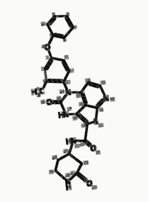 Cc1cc(Oc2ccccc2)ccc1N1C(=O)Nc2c(C(=O)NC3CCNC(=O)C3)sc3nccc1c23